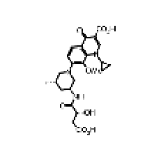 COc1c(N2C[C@@H](C)C[C@H](NC(=O)[C@H](O)CC(=O)O)C2)ccc2c(=O)c(C(=O)O)cn(C3CC3)c12